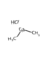 Cl.[CH3][Ga][CH3]